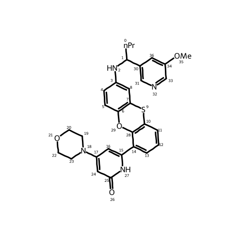 CCCC(Nc1ccc2c(c1)Sc1cccc(-c3cc(N4CCOCC4)cc(=O)[nH]3)c1O2)c1cncc(OC)c1